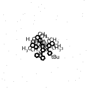 CC(C)(C)c1ccc(N2c3cc4c(cc3B3c5oc6cc7c(cc6c5N(c5ccc6c(c5)C(C)(C)CCC6(C)C)c5cc(-n6c8ccccc8c8ccccc86)cc2c53)C(C)(C)CCC7(C)C)C(C)(C)CCC4(C)C)cc1